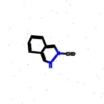 O=[C]N1C=c2ccccc2=CN1